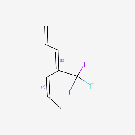 C=C/C=C(\C=C/C)C(F)(I)I